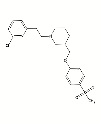 CS(=O)(=O)c1ccc(OCC2CCCN(CCc3cccc(Cl)c3)C2)cc1